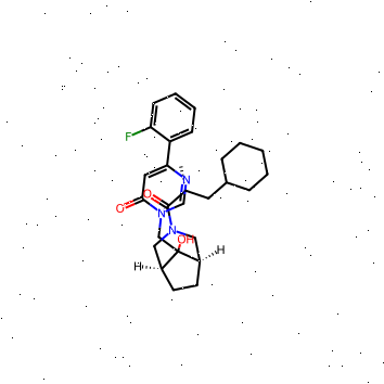 C[C@H](CC1CCCCC1)C(=O)N1C[C@H]2CC[C@@H](C1)C2(O)Cn1cnc(-c2ccccc2F)cc1=O